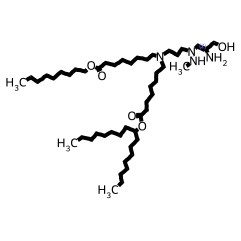 CCCCCCCCCOC(=O)CCCCCCCN(CCCCCCCC(=O)OC(CCCCCCCC)CCCCCCCC)CCCN(/C=C(\N)CO)NC